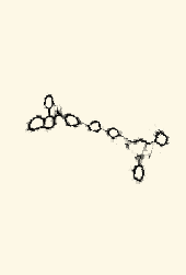 c1ccc(-c2cc(-c3ccc(-c4ccc(-c5ccc(-c6nc7ccccc7c7c6ccc6ccccc67)cc5)cc4)cc3)nc(-c3ccccc3)n2)cc1